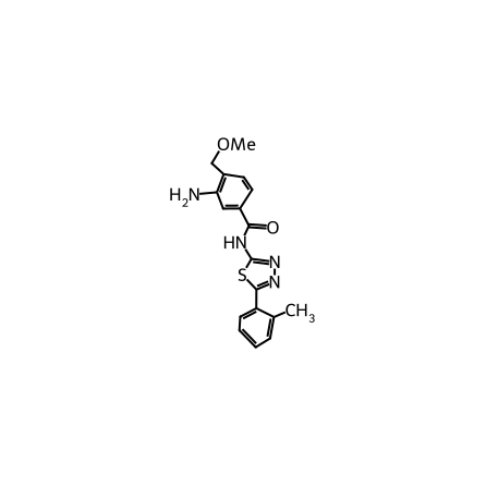 COCc1ccc(C(=O)Nc2nnc(-c3ccccc3C)s2)cc1N